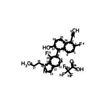 C#Cc1c(F)ccc2c(-c3ncc4cnn(CCC)c4c3F)c(O)ccc12.O=C(O)C(F)(F)F